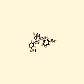 Oc1cccc(-c2nnc(Nc3cccc(Br)c3)s2)c1